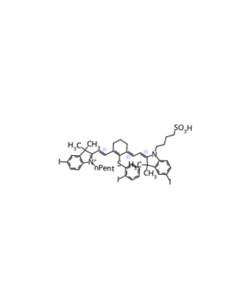 CCCCC[N+]1=C(/C=C/C2=C(Sc3ccccc3I)C(=C/C=C3/N(CCCCS(=O)(=O)O)c4ccc(I)cc4C3(C)C)/CCC2)C(C)(C)c2cc(I)ccc21